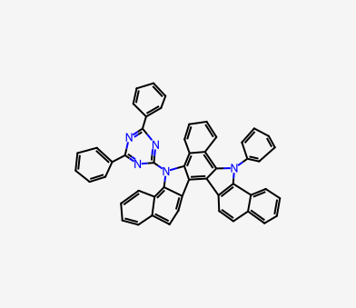 c1ccc(-c2nc(-c3ccccc3)nc(-n3c4c5ccccc5ccc4c4c5c6ccc7ccccc7c6n(-c6ccccc6)c5c5ccccc5c43)n2)cc1